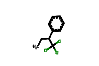 [CH2]CC(c1ccccc1)C(Cl)(Cl)Cl